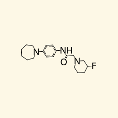 O=C(CN1CCCC(F)C1)Nc1ccc(N2CCCCCC2)cc1